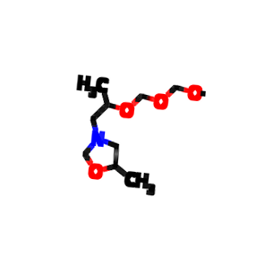 CC(CN1COC(C)C1)OCOC[O]